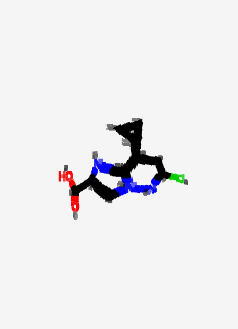 O=C(O)c1cn2nc(Cl)cc(C3CC3)c2n1